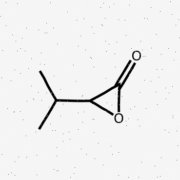 CC(C)C1OC1=O